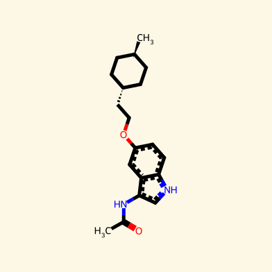 CC(=O)Nc1c[nH]c2ccc(OCC[C@H]3CC[C@H](C)CC3)cc12